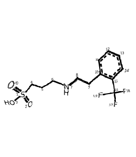 O=S(=O)(O)CCCNCCc1ccccc1C(F)(F)F